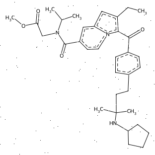 CCc1cc2cc(C(=O)N(CC(=O)OC)C(C)C)ccn2c1C(=O)c1ccc(CCC(C)(C)NC2CCCC2)cc1